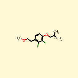 COCCc1ccc(OCC(C)C)c(F)c1F